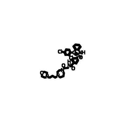 O=C(NCC(=O)N1CCCN(CCCN2CCOCC2)CC1)c1ccc(S(=O)(=O)Nc2ccccc2Oc2ccc(Cl)cc2Cl)cc1